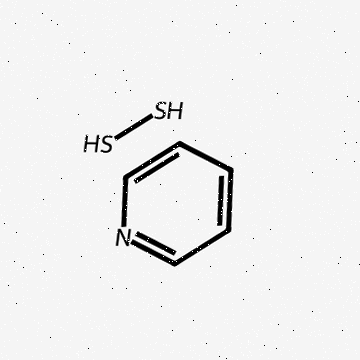 SS.c1ccncc1